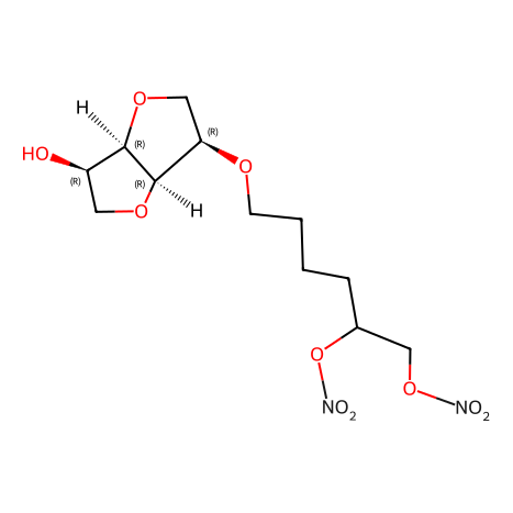 O=[N+]([O-])OCC(CCCCO[C@@H]1CO[C@H]2[C@@H]1OC[C@H]2O)O[N+](=O)[O-]